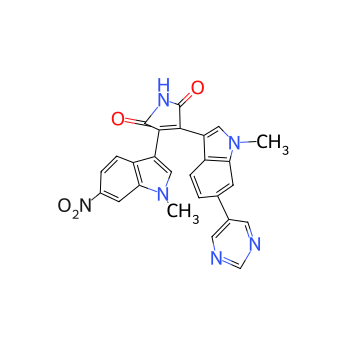 Cn1cc(C2=C(c3cn(C)c4cc([N+](=O)[O-])ccc34)C(=O)NC2=O)c2ccc(-c3cncnc3)cc21